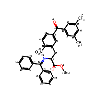 CC(C)(C)OC(=O)C(Cc1cc(C(=O)c2cc(C(F)(F)F)cc(C(F)(F)F)c2)ccc1[N+](=O)[O-])N=C(c1ccccc1)c1ccccc1